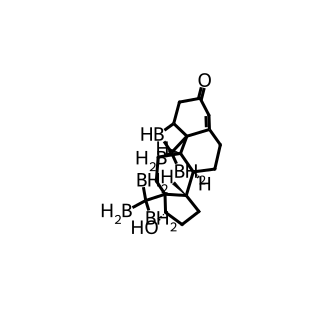 BC(B)(B)C12CC[C@H]3[C@@H](CCC4=CC(=O)CC5BC(B)(B)C453)[C@@H]1CC[C@@H]2O